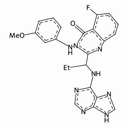 CCC(Nc1ncnc2[nH]cnc12)c1nc2cccc(F)c2c(=O)n1Nc1cccc(OC)c1